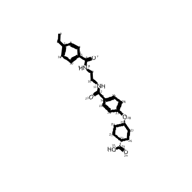 CCc1ccc(C(=O)NCCNC(=O)c2ccc(O[C@H]3CC[C@@H](C(=O)O)CC3)cc2)cc1